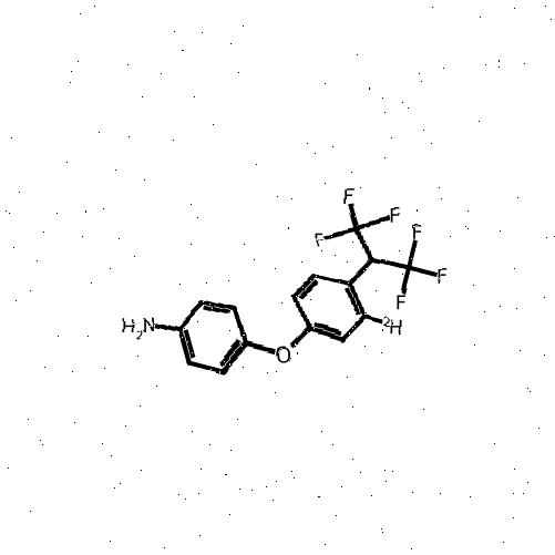 [2H]c1cc(Oc2ccc(N)cc2)ccc1C(C(F)(F)F)C(F)(F)F